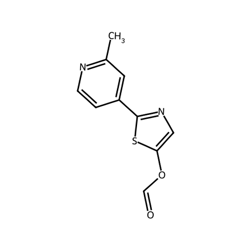 Cc1cc(-c2ncc(OC=O)s2)ccn1